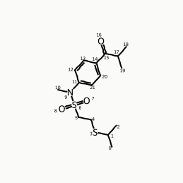 CC(C)SCCS(=O)(=O)N(C)c1ccc(C(=O)C(C)C)cc1